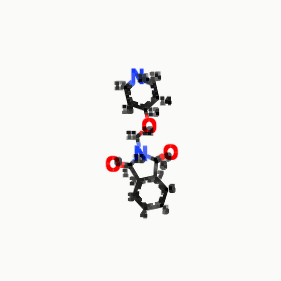 O=C1c2ccccc2C(=O)N1COc1ccncc1